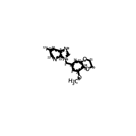 COc1cc(Cn2cnc3cc(I)cnc32)cc2c1OCCO2